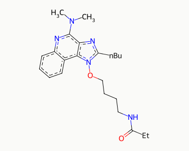 CCCCc1nc2c(N(C)C)nc3ccccc3c2n1OCCCCNC(=O)CC